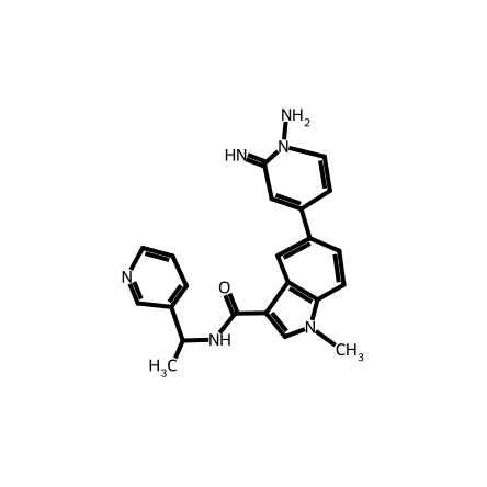 CC(NC(=O)c1cn(C)c2ccc(-c3ccn(N)c(=N)c3)cc12)c1cccnc1